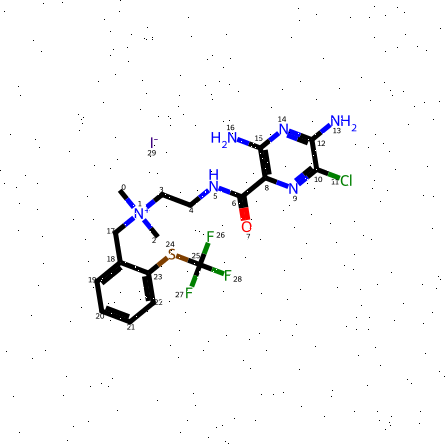 C[N+](C)(CCNC(=O)c1nc(Cl)c(N)nc1N)Cc1ccccc1SC(F)(F)F.[I-]